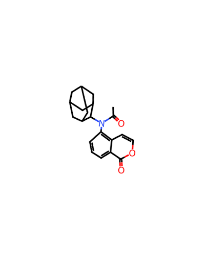 CC(=O)N(c1cccc2c(=O)occc12)C1C2CC3CC(C2)CC1C3